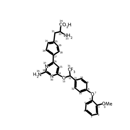 COc1ccccc1Oc1ccc(C(Oc2cc(-c3ccc(CC(N)C(=O)O)cc3)nc(N)n2)C(F)(F)F)cc1